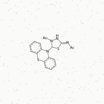 CC(=O)N=C1NN(C(C)=O)C(N2c3ccccc3Sc3ccccc32)S1